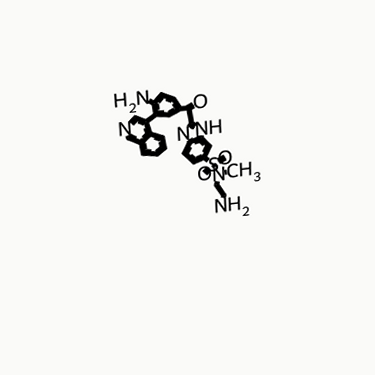 CN(CCN)S(=O)(=O)c1ccc2nc(C(=O)c3ccc(N)c(-c4cncc5ccccc45)c3)[nH]c2c1